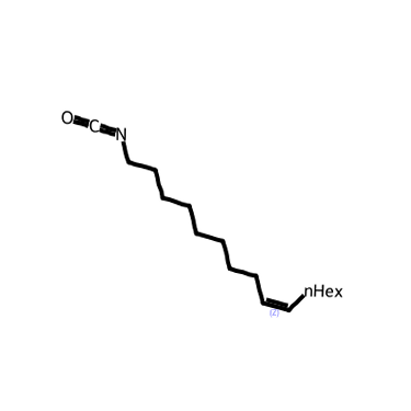 CCCCCC/C=C\CCCCCCCCN=C=O